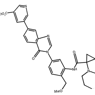 CCOC(=O)c1cncc(-c2ccc3c(=O)n(-c4ccc(COC)c(NC(=O)C5(N6CCOCC6)CC5)c4)cnc3c2)c1